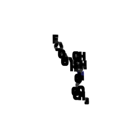 COC(=O)CCO/N=C1/C[C@H]2C[C@H](O)[C@@H](C=CC(=O)COc3ccc(F)cc3)[C@@H]2C1